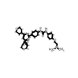 CN(C)CCOc1ccc(NC(=O)Nc2ccc(-c3nc(C4CCOCC4)cc(N4C5CCC4COC5)n3)cc2)cc1